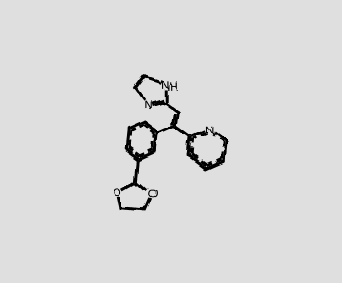 C(/C1=NCCN1)=C(/c1cccc(C2OCCO2)c1)c1ccccn1